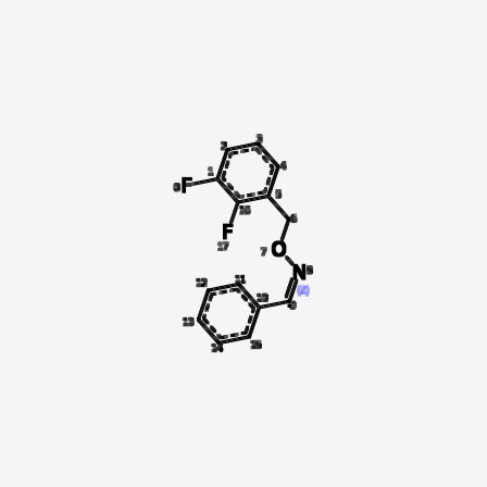 Fc1cccc(CO/N=[C]\c2ccccc2)c1F